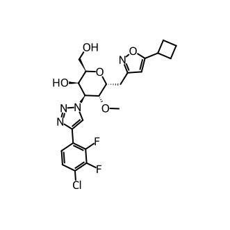 CO[C@@H]1[C@@H](n2cc(-c3ccc(Cl)c(F)c3F)nn2)[C@@H](O)[C@@H](CO)O[C@@H]1Cc1cc(C2CCC2)on1